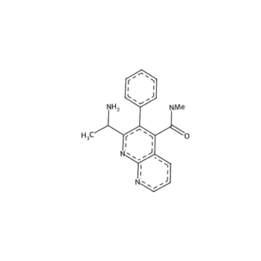 CNC(=O)c1c(-c2ccccc2)c(C(C)N)nc2ncccc12